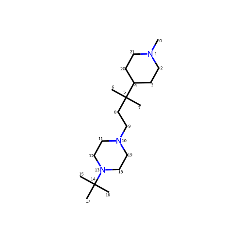 CN1CCC(C(C)(C)CCN2CCN(C(C)(C)C)CC2)CC1